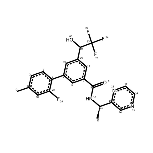 Cc1ccc(-c2cc(C(=O)N[C@H](C)c3cnccn3)cc(C(O)C(F)(F)F)c2)c(F)c1